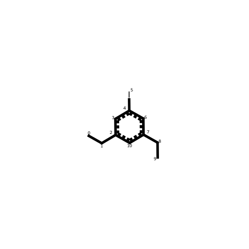 CCc1cc(I)cc(CC)c1